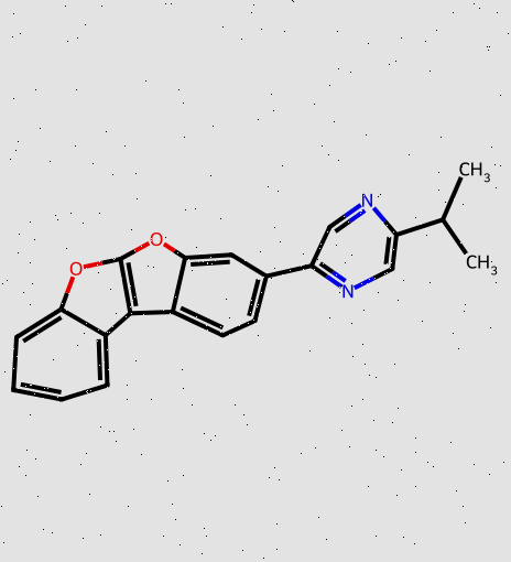 CC(C)c1cnc(-c2ccc3c(c2)oc2oc4ccccc4c23)cn1